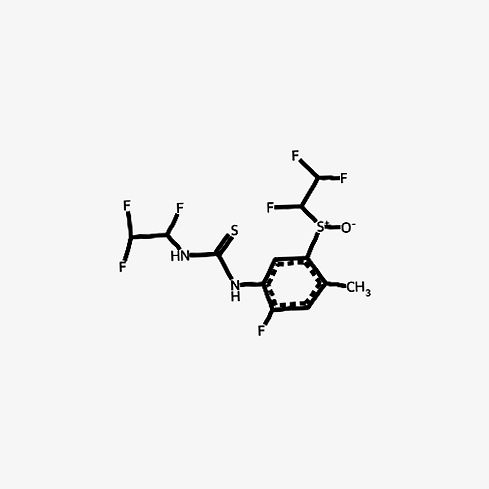 Cc1cc(F)c(NC(=S)NC(F)C(F)F)cc1[S+]([O-])C(F)C(F)F